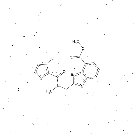 COC(=O)c1cccc2nc(CN(C)C(=O)c3sccc3Cl)[nH]c12